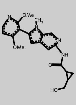 COc1ccnc(OC)c1-c1cc2cc(NC(=O)C3CC3CO)ncc2n1C